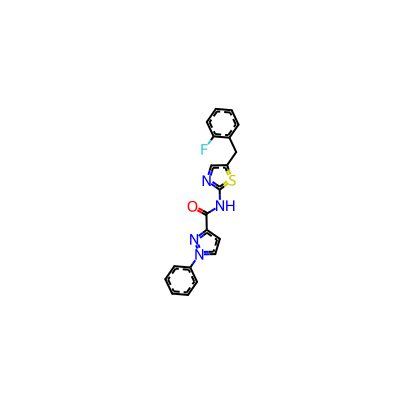 O=C(Nc1ncc(Cc2ccccc2F)s1)c1ccn(-c2ccccc2)n1